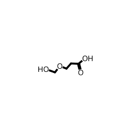 O=C(O)CCOCO